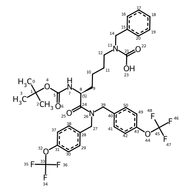 CC(C)(C)OC(=O)N[C@@H](CCCCN(Cc1ccccc1)C(=O)O)C(=O)N(Cc1ccc(OC(F)(F)F)cc1)Cc1ccc(OC(F)(F)F)cc1